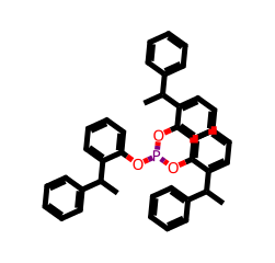 CC(c1ccccc1)c1ccccc1OP(Oc1ccccc1C(C)c1ccccc1)Oc1ccccc1C(C)c1ccccc1